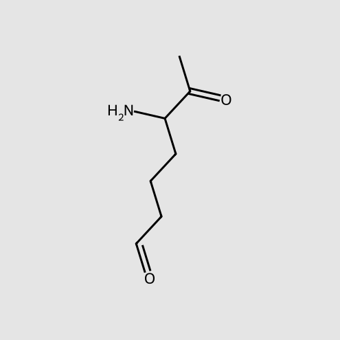 CC(=O)C(N)CCCC=O